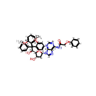 COc1ccccc1C(c1ccccc1)(c1ccccc1OC)C(O)[C@H]1O[C@@H](n2cnc3c(NC(=O)COc4ccccc4)ncnc32)C[C@@H]1O